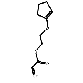 C=CC(=O)OCCOC1=CCCC1